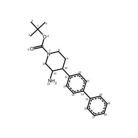 CC(C)(C)OC(=O)N1CCC(c2ccc(-c3ccccc3)cc2)C(N)C1